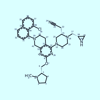 CN1CCC[C@H]1COc1nc2c(c(N3CCN(C[C@@H]4CN4)[C@@H](CC#N)C3)n1)CCN(c1cccc3cccc(Cl)c13)C2